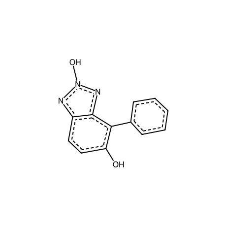 Oc1ccc2nn(O)nc2c1-c1ccccc1